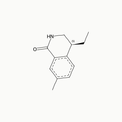 CC[C@@H]1CNC(=O)c2cc(C)ccc21